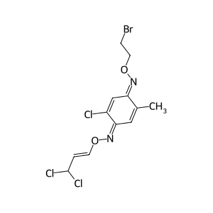 CC1=CC(=NOC=CC(Cl)Cl)C(Cl)=CC1=NOCCBr